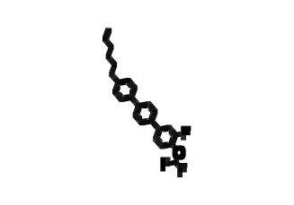 C=CCCCCc1ccc(-c2ccc(-c3ccc(OC(F)F)c(F)c3)cc2)cc1